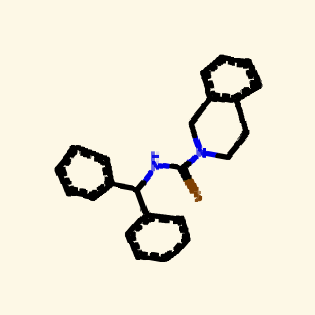 S=C(NC(c1ccccc1)c1ccccc1)N1CCc2ccccc2C1